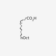 CCCCCCCCC=CCC=CCC=C=CCCC(=O)O